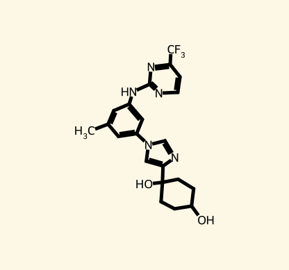 Cc1cc(Nc2nccc(C(F)(F)F)n2)cc(-n2cnc(C3(O)CCC(O)CC3)c2)c1